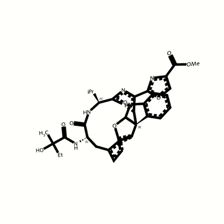 CCC(C)(O)C(=O)N[C@H]1Cc2ccc3c(c2)[C@@]2(c4ccccc4NC2O3)c2oc(nc2-c2nc(C(=O)OC)co2)[C@H](C(C)C)NC1=O